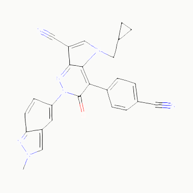 Cn1cc2cc(-n3nc4c(C#N)cn(CC5CC5)c4c(-c4ccc(C#N)cc4)c3=O)ccc2n1